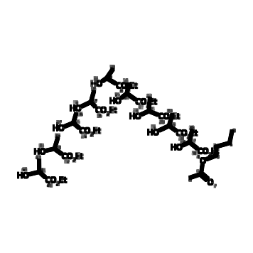 CCCCOC(C)=O.CCOC(=O)C(C)O.CCOC(=O)C(C)O.CCOC(=O)C(C)O.CCOC(=O)C(C)O.CCOC(=O)C(C)O.CCOC(=O)C(C)O.CCOC(=O)C(C)O.CCOC(=O)C(C)O.CCOC(=O)C(C)O